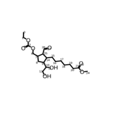 CCOC(=O)OCC1CC(C(O)CO)C(CCCCCCC(=O)OC)C1C=O